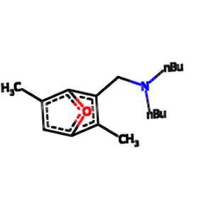 CCCCN(CCCC)Cc1c(C)c2cc(C)c1o2